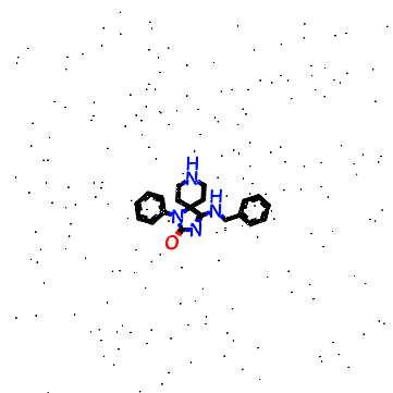 O=C1N=C(NCc2ccccc2)C2(CCNCC2)N1c1ccccc1